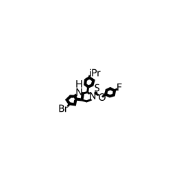 CC(C)c1ccc(C2c3[nH]c4ccc(Br)cc4c3CCN2C(=S)Oc2ccc(F)cc2)cc1